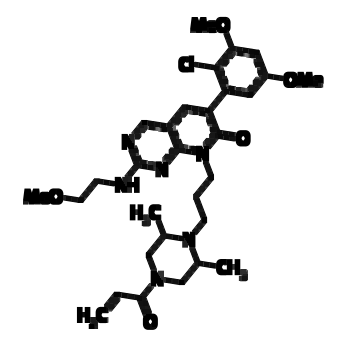 C=CC(=O)N1CC(C)N(CCCn2c(=O)c(-c3cc(OC)cc(OC)c3Cl)cc3cnc(NCCOC)nc32)C(C)C1